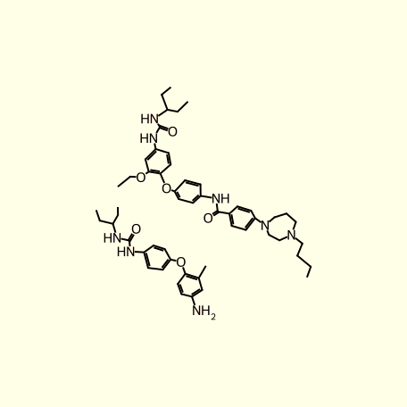 CCC(CC)NC(=O)Nc1ccc(Oc2ccc(N)cc2C)cc1.CCCCN1CCCN(c2ccc(C(=O)Nc3ccc(Oc4ccc(NC(=O)NC(CC)CC)cc4OCC)cc3)cc2)CC1